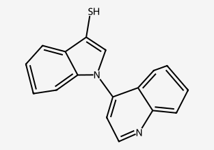 Sc1cn(-c2ccnc3ccccc23)c2ccccc12